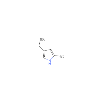 CCc1cc(CC(C)(C)C)c[nH]1